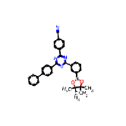 CC1(C)OB(c2cccc(-c3nc(-c4ccc(C#N)cc4)nc(-c4ccc(-c5ccccc5)cc4)n3)c2)OC1(C)C